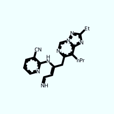 CCCc1c(C/C(=C/C=N)Nc2ncccc2C#N)ncn2nc(CC)nc12